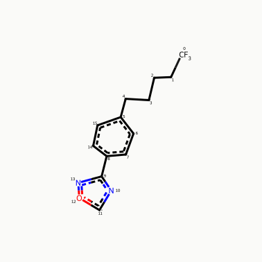 FC(F)(F)CCCCc1ccc(-c2n[c]on2)cc1